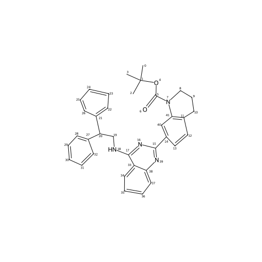 CC(C)(C)OC(=O)N1CCCc2ccc(-c3nc(NCC(c4ccccc4)c4ccccc4)c4ccccc4n3)cc21